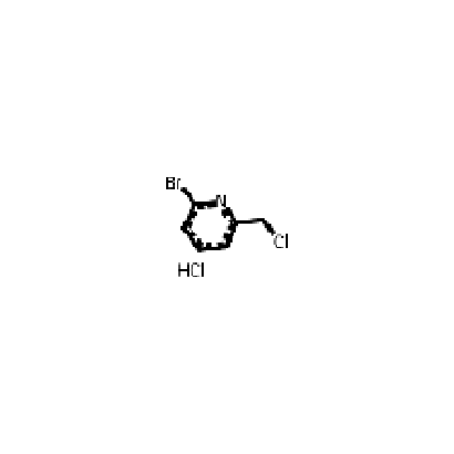 Cl.ClCc1cccc(Br)n1